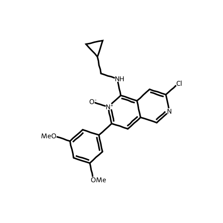 COc1cc(OC)cc(-c2cc3cnc(Cl)cc3c(NCC3CC3)[n+]2[O-])c1